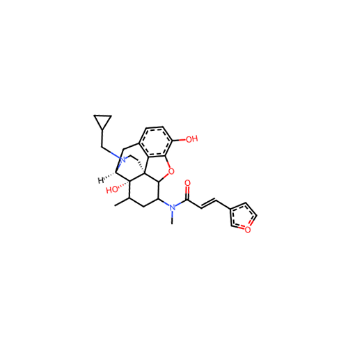 CC1CC(N(C)C(=O)/C=C/c2ccoc2)C2Oc3c(O)ccc4c3[C@@]23CCN(CC2CC2)[C@H](C4)[C@]13O